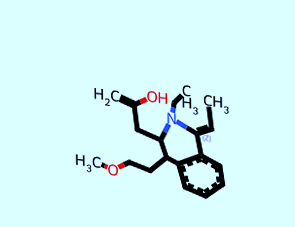 C=C(O)CC1C(CCOC)c2ccccc2/C(=C/C)N1CC